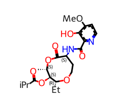 CC[C@H]1OCC[C@H](NC(=O)c2nccc(OC)c2O)C(=O)O[C@@H](C)[C@@H]1OC(=O)C(C)C